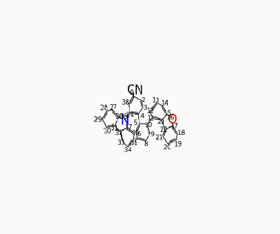 N#Cc1ccc(-c2ccccc2-c2cccc3oc4ccccc4c23)c(-n2c3ccccc3c3ccccc32)c1